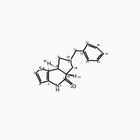 O=C1Nc2ccsc2[C@H]2CN(Cc3ccccc3)C[C@H]12